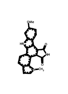 COc1ccc2c(c1)[nH]c1c3ccc4ccn(C)c4c3c3c(c21)C(=O)NC3=O